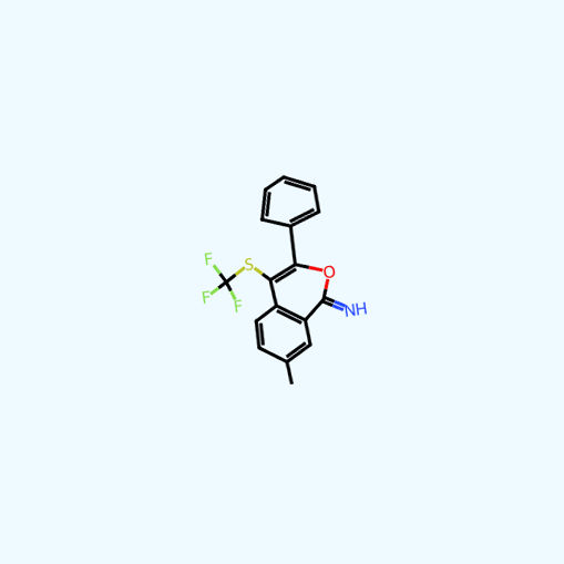 Cc1ccc2c(SC(F)(F)F)c(-c3ccccc3)oc(=N)c2c1